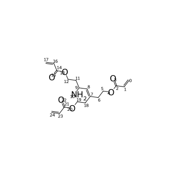 C=CC(=O)OCCC(=CC(N)CCOC(=O)C=C)CCOC(=O)C=C